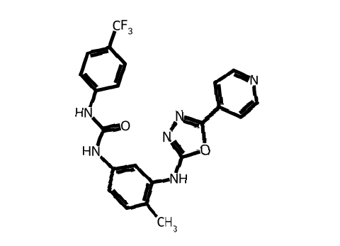 Cc1ccc(NC(=O)Nc2ccc(C(F)(F)F)cc2)cc1Nc1nnc(-c2ccncc2)o1